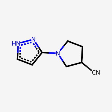 N#CC1CCN(c2cc[nH]n2)C1